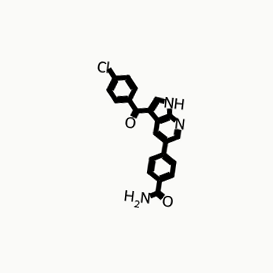 NC(=O)c1ccc(-c2cnc3[nH]cc(C(=O)c4ccc(Cl)cc4)c3c2)cc1